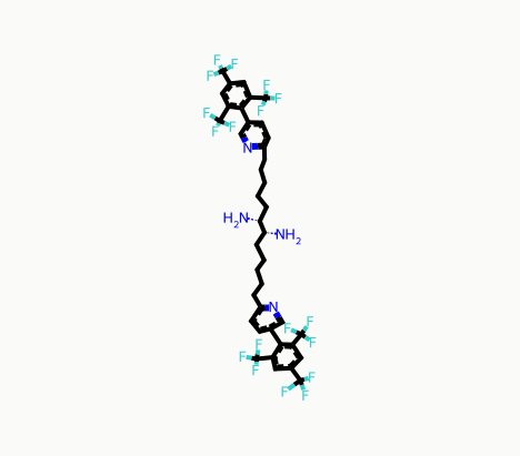 N[C@H](CCCCCc1ccc(-c2c(C(F)(F)F)cc(C(F)(F)F)cc2C(F)(F)F)cn1)[C@H](N)CCCCCc1ccc(-c2c(C(F)(F)F)cc(C(F)(F)F)cc2C(F)(F)F)cn1